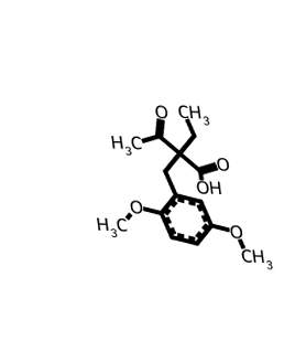 CCC(Cc1cc(OC)ccc1OC)(C(C)=O)C(=O)O